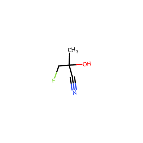 CC(O)(C#N)CF